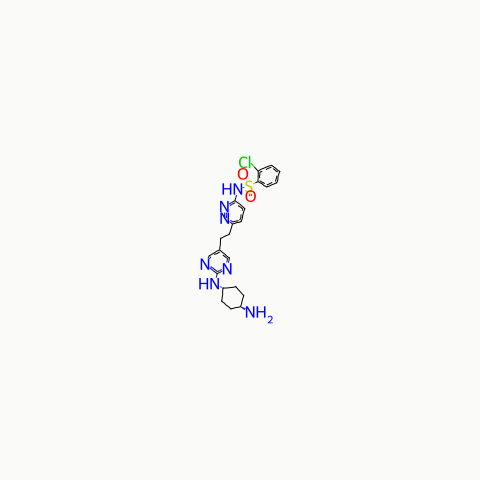 N[C@H]1CC[C@H](Nc2ncc(CCc3ccc(NS(=O)(=O)c4ccccc4Cl)nn3)cn2)CC1